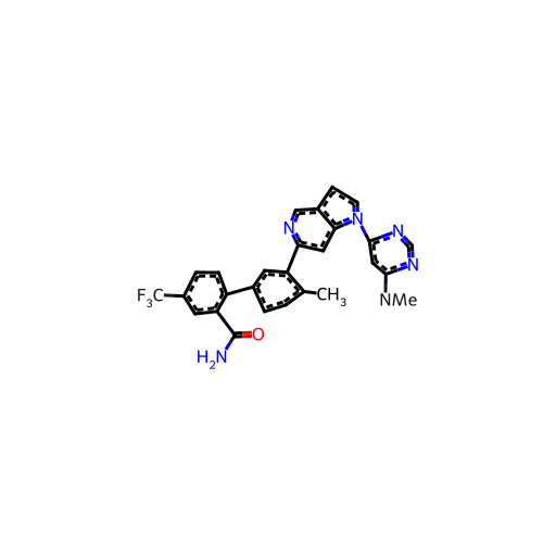 CNc1cc(-n2ccc3cnc(-c4cc(-c5ccc(C(F)(F)F)cc5C(N)=O)ccc4C)cc32)ncn1